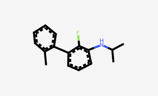 Cc1ccccc1-c1cccc(NC(C)C)c1F